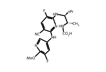 CCC[C@H](Nc1nc(Nc2cnc(OC)c(F)c2)c(C#N)cc1F)[C@H](C)NC(=O)O